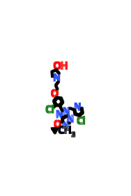 CC1(Oc2ncnc3c2nc(-c2ccc(OCCCN4CC[C@H](O)C4)cc2Cl)n3Cc2cc(Cl)ccn2)CC1